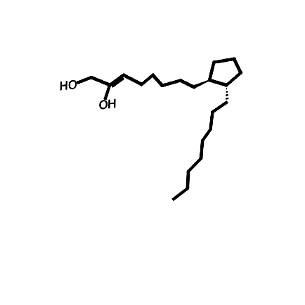 CCCCCCCC[C@H]1CCC[C@@H]1CCCCCC=C(O)CO